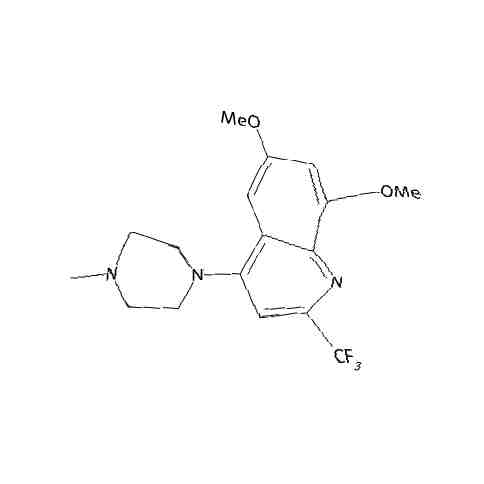 COc1cc(OC)c2nc(C(F)(F)F)cc(N3CCN(C)CC3)c2c1